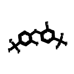 Fc1cc(C(F)(F)F)ccc1Sc1ccc(C(F)(F)F)cc1F